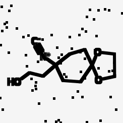 [C-]#[N+]C1(CCO)CCC2(CC1)OCCO2